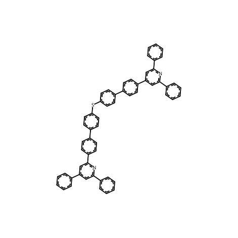 c1ccc(-c2cc(-c3ccccc3)nc(-c3ccc(-c4ccc(Sc5ccc(-c6ccc(-c7cc(-c8ccccc8)nc(-c8ccccc8)c7)cc6)cc5)cc4)cc3)c2)cc1